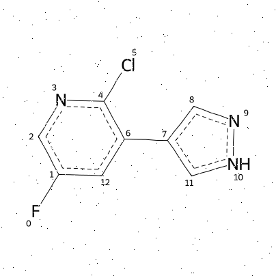 Fc1cnc(Cl)c(-c2cn[nH]c2)c1